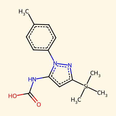 Cc1ccc(-n2nc([Si](C)(C)C)cc2NC(=O)O)cc1